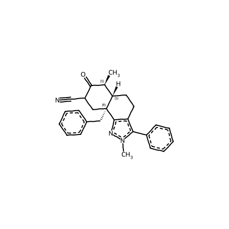 C[C@@H]1C(=O)C(C#N)C[C@]2(Cc3ccccc3)c3nn(C)c(-c4ccccc4)c3CC[C@@H]12